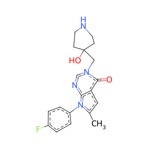 Cc1cc2c(=O)n(CC3(O)CCNCC3)cnc2n1-c1ccc(F)cc1